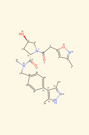 Cc1cc(CC(=O)N2C[C@H](O)C[C@H]2C(=O)N(C)Cc2ccc(-c3c(C)n[nH]c3C)cc2)on1